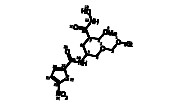 CCOCOCC(CC(COC)C(=O)NO)NC(=O)c1ccc([N+](=O)[O-])s1